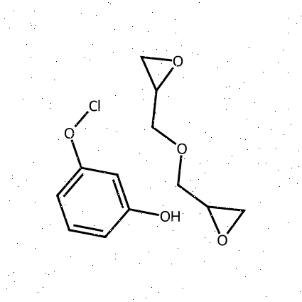 C(OCC1CO1)C1CO1.Oc1cccc(OCl)c1